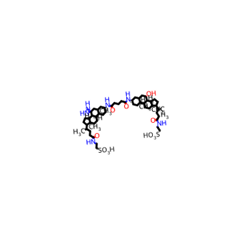 CC(CCC(=O)NCCS(=O)(=O)O)C1CC[C@@H]2C3[C@@H](CCC12C)C1(C)CC[C@@H](NC(=O)CCCC(=O)N[C@H]2CCC4(C)C(CC(O)C5[C@@H]4CCC4(C)C([C@@H](C)CCC(=O)NCCS(=O)(=O)O)CC[C@@H]54)C2)CC1CC31NN1